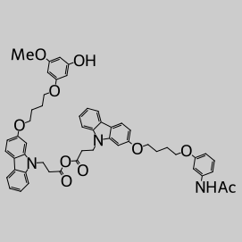 COc1cc(O)cc(OCCCCOc2ccc3c4ccccc4n(CCC(=O)OC(=O)CCn4c5ccccc5c5ccc(OCCCCOc6cccc(NC(C)=O)c6)cc54)c3c2)c1